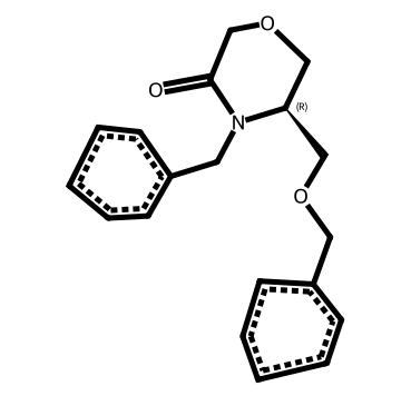 O=C1COC[C@@H](COCc2ccccc2)N1Cc1ccccc1